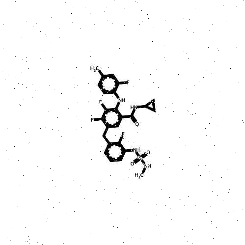 CNS(=O)(=O)Nc1cccc(Cc2cc(C(=O)NC3CC3)c(Nc3ccc(C)cc3F)c(F)c2F)c1F